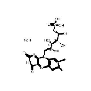 Cc1cc2nc3c(=O)[nH]c(=O)nc-3n(C[C@@H](O)[C@@H](O)[C@@H](O)C(O)OP(=O)(O)O)c2cc1C.[NaH]